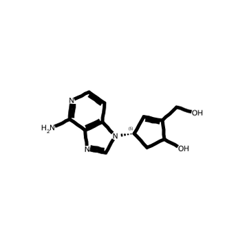 Nc1nccc2c1ncn2[C@@H]1C=C(CO)C(O)C1